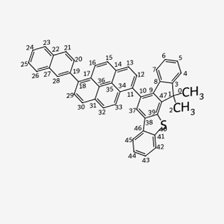 CC1(C)c2ccccc2-c2c(-c3ccc4ccc5c(-c6ccc7ccccc7c6)ccc6ccc3c4c65)cc3c(sc4ccccc43)c21